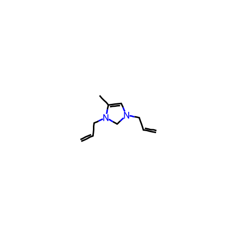 C=CCN1C=C(C)N(CC=C)C1